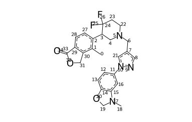 Cc1c(C2CN(Cc3cnn(-c4ccc5c(c4)N(C)CO5)c3)CCC2(F)F)ccc2c1COC2=O